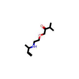 C=CC(C)NCCOCC(=O)C(C)C